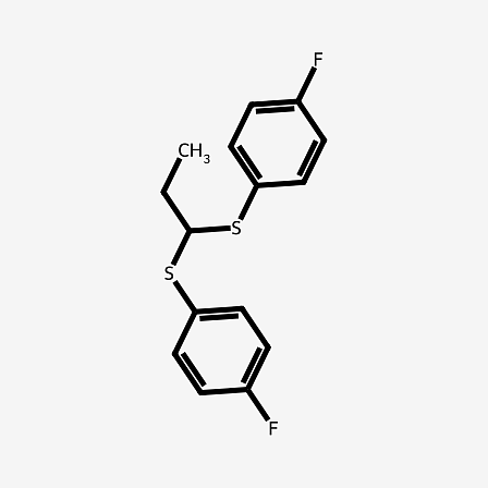 CCC(Sc1ccc(F)cc1)Sc1ccc(F)cc1